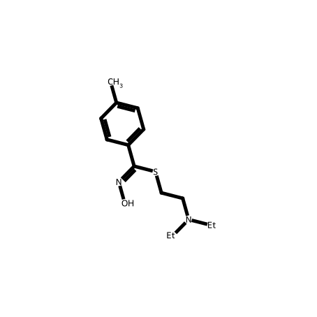 CCN(CC)CCSC(=NO)c1ccc(C)cc1